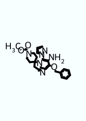 COC(=O)N1CCC(CC#N)(N2CC=C(OCc3ccccc3)C(N)=C2n2cccn2)CC1